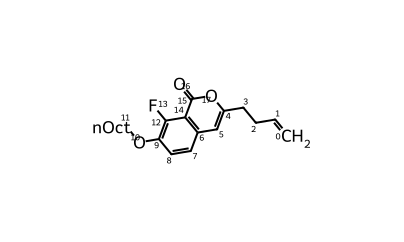 C=CCCc1cc2ccc(OCCCCCCCC)c(F)c2c(=O)o1